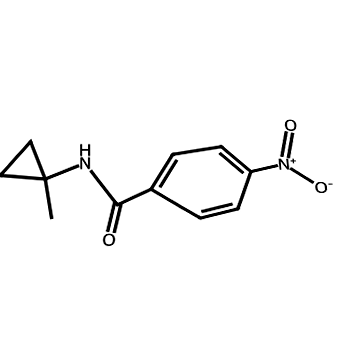 CC1(NC(=O)c2ccc([N+](=O)[O-])cc2)CC1